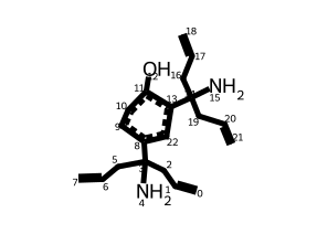 C=CCC(N)(CC=C)c1ccc(O)c(C(N)(CC=C)CC=C)c1